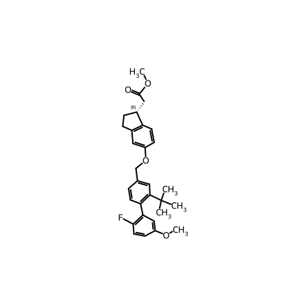 COC(=O)C[C@H]1CCc2cc(OCc3ccc(-c4cc(OC)ccc4F)c(C(C)(C)C)c3)ccc21